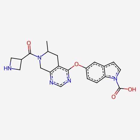 CC1Cc2c(ncnc2Oc2ccc3c(ccn3C(=O)O)c2)CN1C(=O)C1CNC1